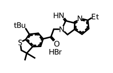 Br.CCc1ccc2c(n1)C(=N)N(CC(=O)c1cc(C(C)(C)C)c3c(c1)C(C)(C)CS3)C2